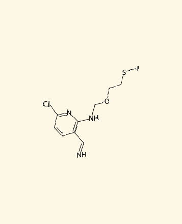 N=Cc1ccc(Cl)nc1NCOCCSI